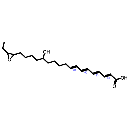 CCC1OC1CCCCC(O)CCCC/C=C/C=C/C=C/C=C/C(=O)O